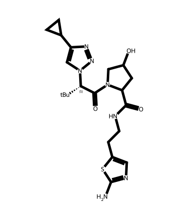 CC(C)(C)[C@@H](C(=O)N1CC(O)CC1C(=O)NCCc1cnc(N)s1)n1cc(C2CC2)nn1